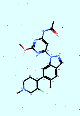 COc1nc(NC(C)=O)cc(-n2ncc3cc(C)c(C4CCN(C)CC4F)cc32)n1